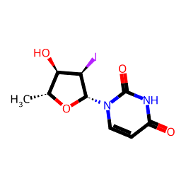 C[C@H]1O[C@@H](n2ccc(=O)[nH]c2=O)[C@H](I)[C@@H]1O